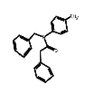 [CH2]c1ccc(N(Cc2ccccc2)C(=O)Cc2ccccc2)cc1